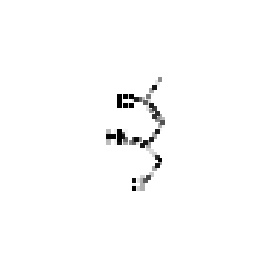 C/C(O)=C/C(=N)CCl